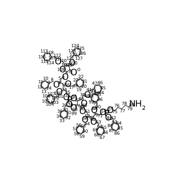 COC1C(OCC(OCc2ccccc2)C(OCc2ccccc2)C(COP(OCc2ccccc2)OC2C(COCc3ccccc3)OC(OCC(OCc3ccccc3)C(OCc3ccccc3)C(COP(OCCCCCN)OCc3ccccc3)OCc3ccccc3)C2OC)OCc2ccccc2)OC(COCc2ccccc2)C1OCc1ccccc1